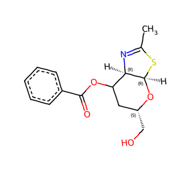 CC1=N[C@@H]2C(OC(=O)c3ccccc3)C[C@@H](CO)O[C@@H]2S1